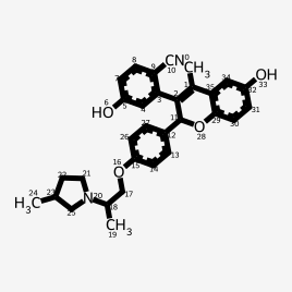 CC1=C(c2cc(O)ccc2C#N)C(c2ccc(OCC(C)N3CCC(C)C3)cc2)Oc2ccc(O)cc21